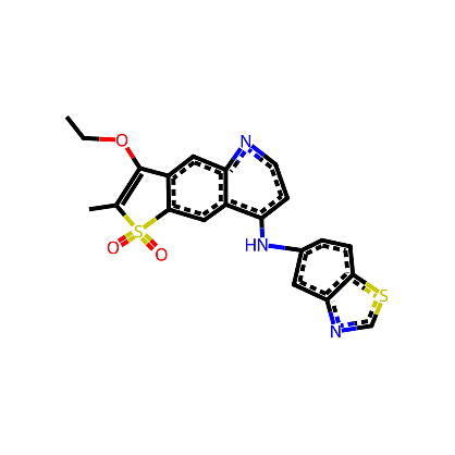 CCOC1=C(C)S(=O)(=O)c2cc3c(Nc4ccc5scnc5c4)ccnc3cc21